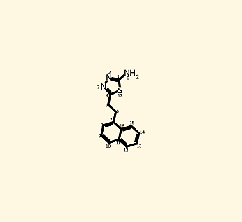 Nc1nnc(CCc2cccc3ccccc23)s1